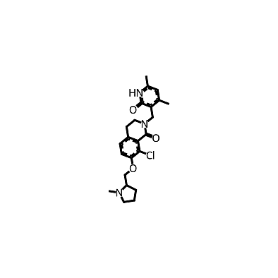 Cc1cc(C)c(CN2CCc3ccc(OCC4CCCN4C)c(Cl)c3C2=O)c(=O)[nH]1